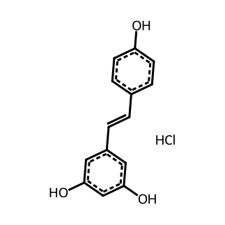 Cl.Oc1ccc(C=Cc2cc(O)cc(O)c2)cc1